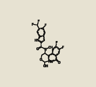 CN(C(=O)c1cc2cc(F)c(C(F)F)cc2[nH]1)C1COC(O)c2[nH]c(=O)c3cc(F)c(F)cc3c21